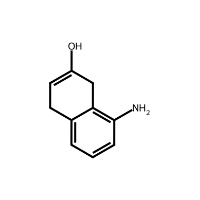 Nc1cccc2c1CC(O)=CC2